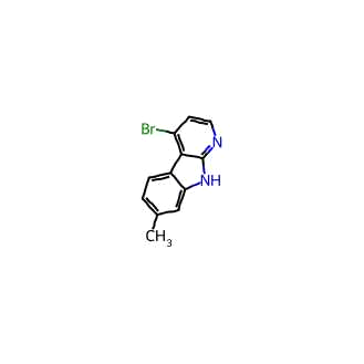 Cc1ccc2c(c1)[nH]c1nccc(Br)c12